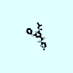 CC(C)CN(C)c1cc(C(=O)Nc2ccn(C)n2)cc(Oc2ccccc2)n1